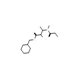 CCC(=O)N(C)C(C)C(O)C(=O)NCC1CCCCC1